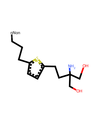 CCCCCCCCCCCCc1ccc(CCC(N)(CO)CO)s1